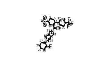 CS(=O)(=O)c1ccc(-c2ccc(C(F)(F)F)nc2)c(C(=O)N2Cc3cn(-c4ccccc4F)nc3C2)c1